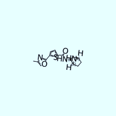 Cc1coc(-c2ccc(C(=O)N[C@@H]3C[C@H]4CC[C@@H]3N4)s2)n1